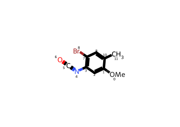 COc1cc(N=C=O)c(Br)cc1C